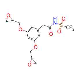 O=C(Cc1cc(OCC2CO2)cc(OCC2CO2)c1)NS(=O)(=O)C(F)(F)F